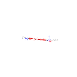 CSC(=O)NCC(F)COCCOCCOCCOCCOCCNC(C)C